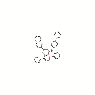 c1ccc(-c2ccc(-c3ccccc3N(c3ccc(-c4ccccc4)cc3)c3cccc(-c4ccc5ccccc5c4)c3)cc2)cc1